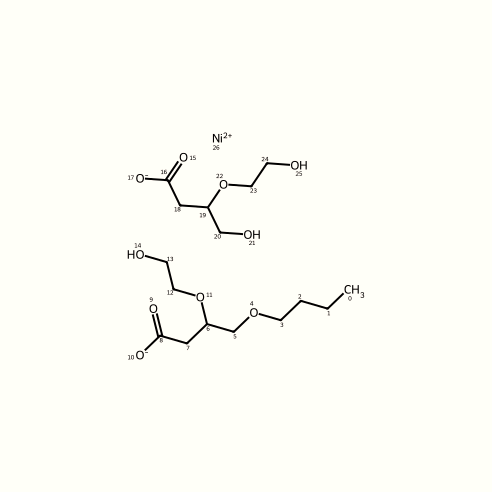 CCCCOCC(CC(=O)[O-])OCCO.O=C([O-])CC(CO)OCCO.[Ni+2]